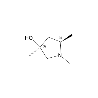 C[C@@H]1C[C@](C)(O)CN1C